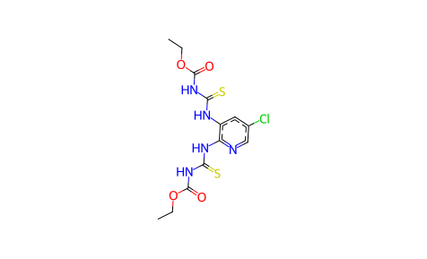 CCOC(=O)NC(=S)Nc1cc(Cl)cnc1NC(=S)NC(=O)OCC